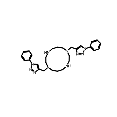 c1ccc(-n2cc(CN3CCCNCCN(Cc4cn(-c5ccccc5)nn4)CCCNCC3)nn2)cc1